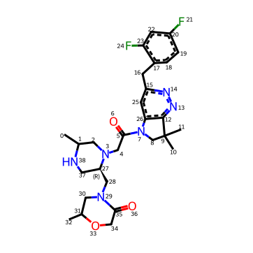 CC1CN(CC(=O)N2CC(C)(C)c3nnc(Cc4ccc(F)cc4F)cc32)[C@@H](CN2CC(C)OCC2=O)CN1